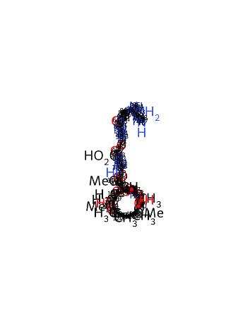 CO[C@H]1C[C@@H]2CC[C@@H](C)[C@@](O)(O2)C(=O)C(=O)N2CCCC[C@H]2C(=O)O[C@H]([C@H](C)C[C@@H]2CC[C@@H](OC(=O)NCc3cnc(N4CCN(C(=O)CCOCCN5CCN(c6ncc(C(=O)N7CCc8cc(Cn9nc(-c%10cnc%11[nH]ccc%11c%10)c%10c(N)ncnc%109)ccc8C7)cn6)CC5)[C@@H](C(=O)O)C4)nc3)[C@H](OC)C2)CC(=O)[C@H](C)/C=C(\C)[C@@H](O)[C@@H](OC)C(=O)[C@H](C)C[C@H](C)/C=C/C=C/C=C/1C